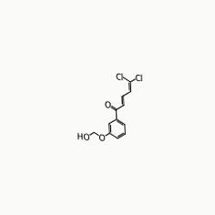 O=C(/C=C/C=C(Cl)Cl)c1cccc(OCO)c1